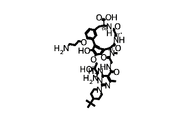 Cc1nc(N2CCC(C(C)(C)C)CC2)nc(N)c1C(=O)NCC(=O)N(C)[C@@H]1C(=O)N[C@@H](C)C(=O)N[C@H](C(=O)O)Cc2ccc(OCCCN)c(c2)-c2cc1cc(OC[C@H](O)CN)c2O